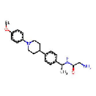 CCOc1ccc(N2CCC(c3ccc([C@H](C)NC(=O)CN)cc3)CC2)cc1